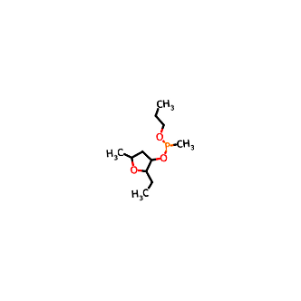 CCCOP(C)OC1CC(C)OC1CC